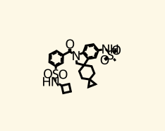 CS(=O)(=O)Nc1ccc2c(c1)C1(CCC3(CC3)CC1)CN2C(=O)c1cccc(S(=O)(=O)NC2CCC2)c1